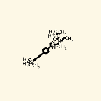 CCCN(C(=O)OC(C)(C)C)[C@@H](C)c1ncc(-c2ccc(C#CC#C[Si](C)(C)C)cc2)[nH]1